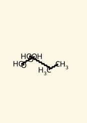 CCCCCCC(C)CCCCCCCCCCCCC(O)[C@H](CO)OCCCCCC(=O)O